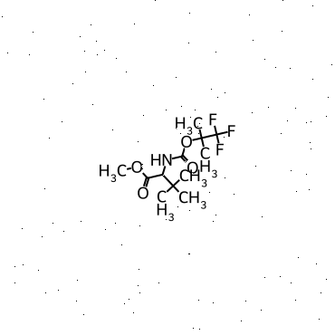 COC(=O)C(NC(=O)OC(C)(C)C(F)(F)F)C(C)(C)C